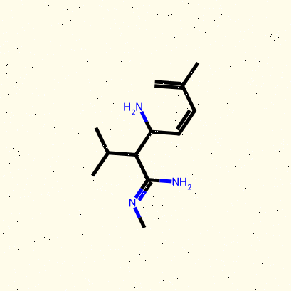 C=C(C)/C=C\C(N)C(/C(N)=N/C)C(C)C